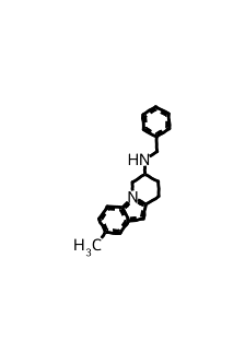 Cc1ccc2c(c1)cc1n2CC(NCc2ccccc2)CC1